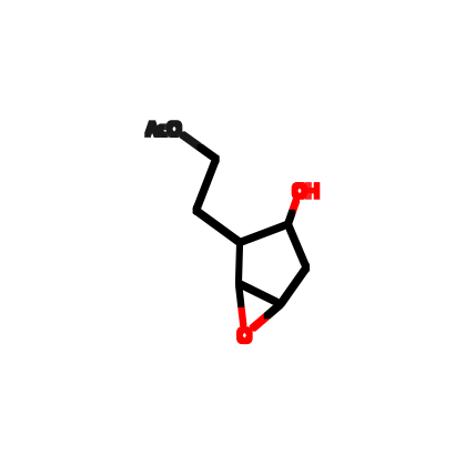 CC(=O)OCCC1C(O)CC2OC21